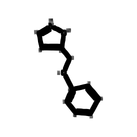 [CH](Oc1ccccc1)c1ccno1